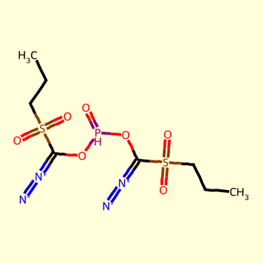 CCCS(=O)(=O)C(=[N+]=[N-])O[PH](=O)OC(=[N+]=[N-])S(=O)(=O)CCC